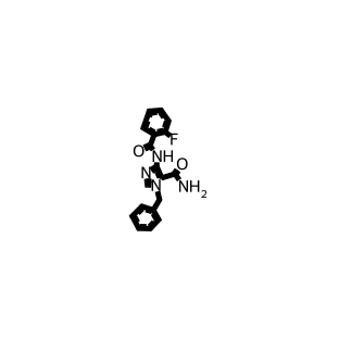 NC(=O)c1c(NC(=O)c2ccccc2F)ncn1Cc1ccccc1